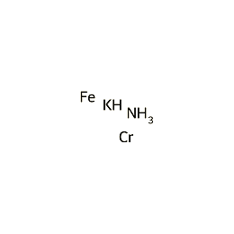 N.[Cr].[Fe].[KH]